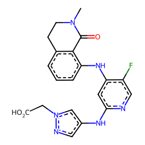 CN1CCc2cccc(Nc3cc(Nc4cnn(CC(=O)O)c4)ncc3F)c2C1=O